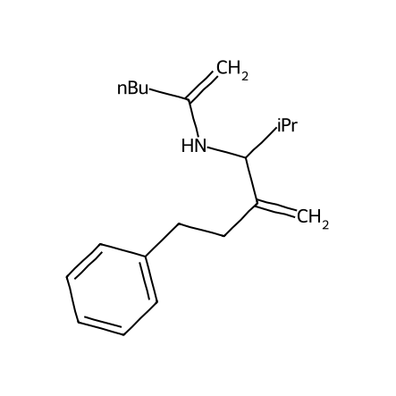 C=C(CCCC)NC(C(=C)CCc1ccccc1)C(C)C